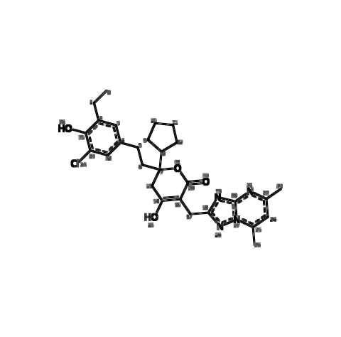 CCc1cc(CCC2(C3CCCC3)CC(O)=C(Cc3nc4nc(C)cc(C)n4n3)C(=O)O2)cc(Cl)c1O